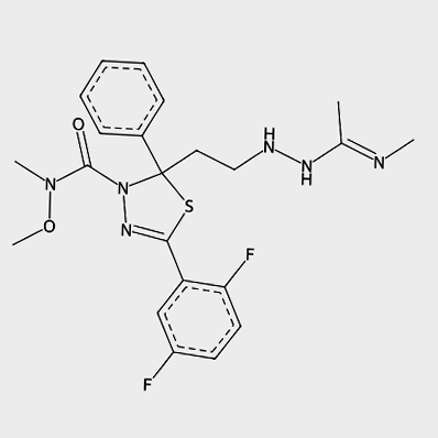 C/N=C(\C)NNCCC1(c2ccccc2)SC(c2cc(F)ccc2F)=NN1C(=O)N(C)OC